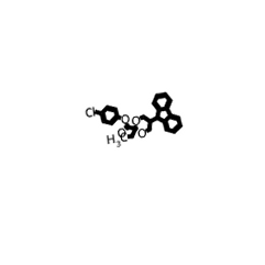 CCC1(C(=O)Oc2ccc(Cl)cc2)OCC(C2c3ccccc3-c3ccccc32)CO1